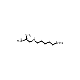 [CH2]C(COCCCCCCCCCCC)OC